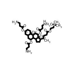 C[C@H](CCC(=O)OCC[N+](C)(C)C)C1CCC2C3C(C[C@H](OC(=O)CCN)C21C)C1(C)CC[C@@H](OC(=O)CCN)CC1C[C@H]3OC(=O)CCN